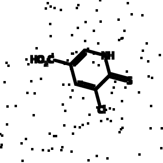 O=C(O)c1c[nH]c(=S)c(Cl)c1